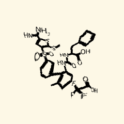 CSc1sc(C(=N)N)cc1S(=O)(=O)c1cccc(-c2c(C)cccc2NC(=O)NC(Cc2ccccc2)C(=O)O)c1.O=C(O)C(F)(F)F